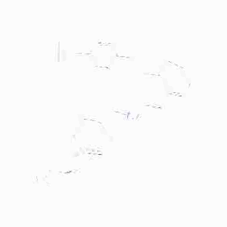 COC(=O)c1ccc(CNCCc2ccccc2OCc2ccc(Br)cc2)cc1